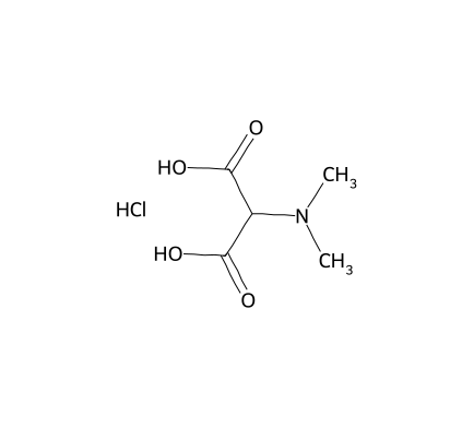 CN(C)C(C(=O)O)C(=O)O.Cl